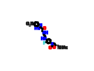 CC(=O)NC[C@H]1CN(c2ccc(NCCNCC(=O)c3nc4ccc([N+](=O)[O-])cc4[nH]3)c(F)c2)C(=O)O1